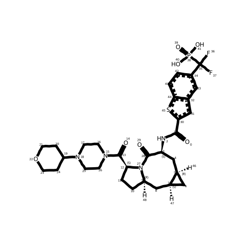 O=C(N[C@H]1C[C@H]2C[C@H]2C[C@H]2CC[C@@H](C(=O)N3CCN(C4CCOCC4)CC3)N2C1=O)c1cc2cc(C(F)(F)P(=O)(O)O)ccc2s1